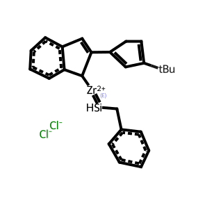 CC(C)(C)C1=CCC(C2=Cc3ccccc3[CH]2/[Zr+2]=[SiH]/Cc2ccccc2)=C1.[Cl-].[Cl-]